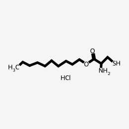 CCCCCCCCCCOC(=O)C(N)CS.Cl